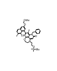 CCc1c(F)ccc2cc(OCOC)cc(-c3nc4c5c(cc(=O)n(Cc6ccccc6)c5c3F)N(CCO[Si](C)(C)C(C)(C)C)CCO4)c12